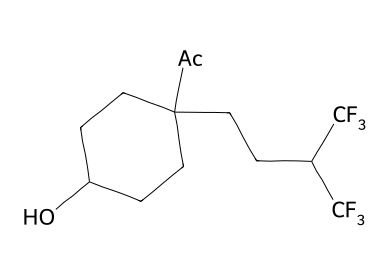 CC(=O)C1(CCC(C(F)(F)F)C(F)(F)F)CCC(O)CC1